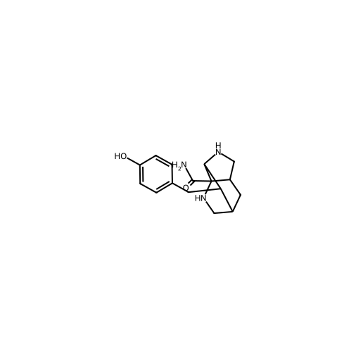 NC(=O)C12NCC3CC1CNC2C3Cc1ccc(O)cc1